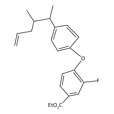 C=CCC(C)C(C)c1ccc(Oc2ccc(C(=O)OCC)cc2F)cc1